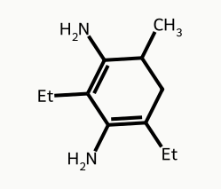 CCC1=C(N)C(CC)=C(N)C(C)C1